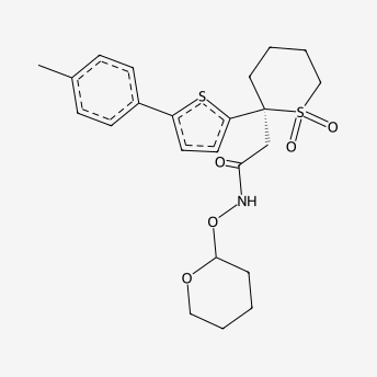 Cc1ccc(-c2ccc([C@@]3(CC(=O)NOC4CCCCO4)CCCCS3(=O)=O)s2)cc1